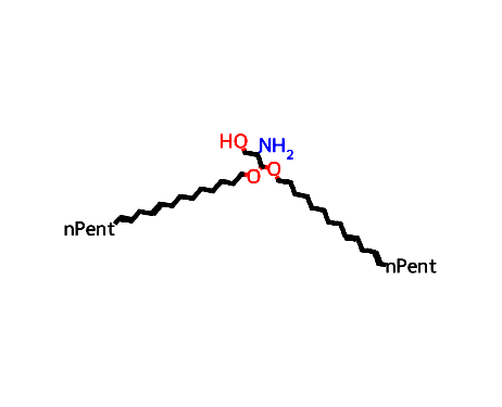 CCCCCC=CCC=CCCCCCCCCOC(OCCCCCCCCC=CCC=CCCCCC)[C@@H](N)CO